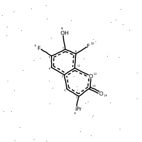 CC(C)c1cc2cc(F)c(O)c(F)c2oc1=O